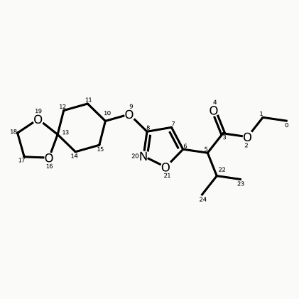 CCOC(=O)C(c1cc(OC2CCC3(CC2)OCCO3)no1)C(C)C